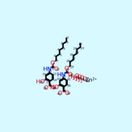 CCCCCCCCOC(=O)Nc1ccc(C(=O)[O-])c(O)c1.CCCCCCCCOC(=O)Nc1ccc(C(=O)[O-])c(O)c1.O.O.O.O.[Zn+2]